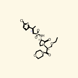 CCOC[C@@H](C(=O)N1CCOCC1)N1CC[C@H](NS(=O)(=O)/C=C(\C)c2ccc(Cl)s2)C1=O